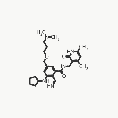 Cc1cc(C)c(CNC(=O)c2cc(COCCCN(C)C)cc(NC3CCCC3)c2C=N)c(=O)[nH]1